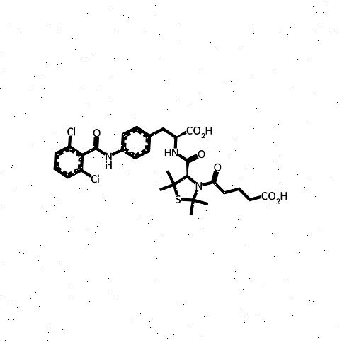 CC1(C)SC(C)(C)N(C(=O)CCCC(=O)O)[C@@H]1C(=O)N[C@@H](Cc1ccc(NC(=O)c2c(Cl)cccc2Cl)cc1)C(=O)O